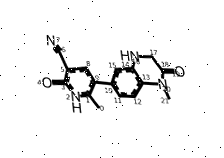 Cc1[nH]c(=O)c(C#N)cc1-c1ccc2c(c1)NCC(=O)N2C